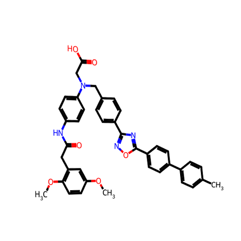 COc1ccc(OC)c(CC(=O)Nc2ccc(N(CC(=O)O)Cc3ccc(-c4noc(-c5ccc(-c6ccc(C)cc6)cc5)n4)cc3)cc2)c1